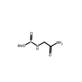 COS(=O)NCC(N)=O